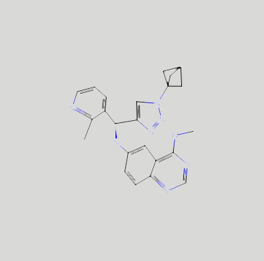 CNc1ncnc2ccc(N[C@H](c3cn(C45CC(C4)C5)nn3)c3cccnc3C)cc12